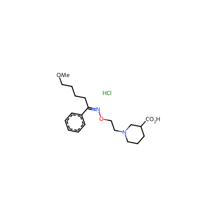 COCCCCC(=NOCCN1CCCC(C(=O)O)C1)c1ccccc1.Cl